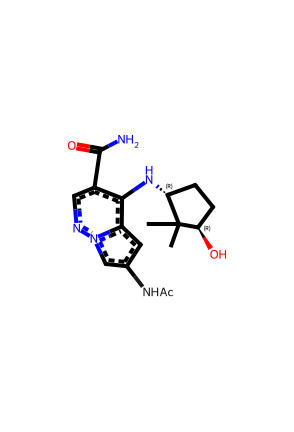 CC(=O)Nc1cc2c(N[C@@H]3CC[C@@H](O)C3(C)C)c(C(N)=O)cnn2c1